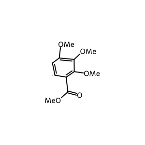 COC(=O)c1[c]cc(OC)c(OC)c1OC